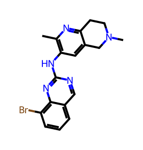 Cc1nc2c(cc1Nc1ncc3cccc(Br)c3n1)CN(C)CC2